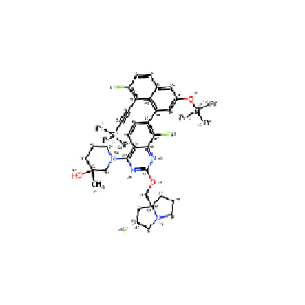 CC(C)[Si](C#Cc1c(F)ccc2cc(O[Si](C(C)C)(C(C)C)C(C)C)cc(-c3ccc4c(N5CCCC(C)(O)C5)nc(OC[C@@]56CCCN5C[C@H](F)C6)nc4c3F)c12)(C(C)C)C(C)C